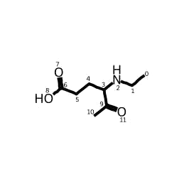 CCNC(CCC(=O)O)C(C)=O